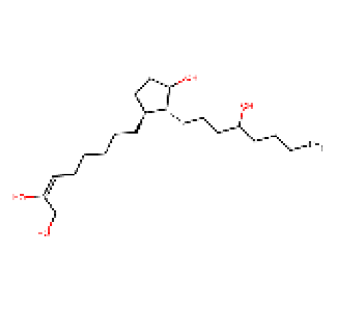 CCCCC(O)CCC[C@H]1C(O)CC[C@@H]1CCCCC/C=C(/O)CO